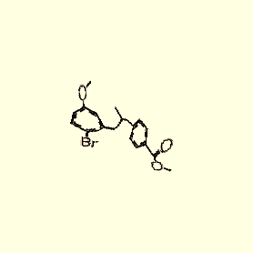 COC(=O)c1ccc(C(C)Cc2cc(OC)ccc2Br)cc1